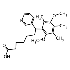 COc1c(C)c(C)c(OC)c(C(CCCCCC(=O)O)c2cccnc2)c1C